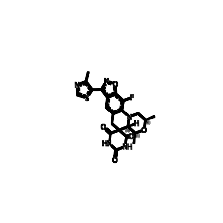 Cc1ncsc1-c1noc2c(F)c3c(cc12)CC1(C(=O)NC(=O)NC1=O)[C@H]1[C@H](C)O[C@H](C)CN31